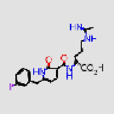 CC(=N)NCCC[C@H](NC(=O)c1ccc(Cc2cccc(I)c2)[nH]c1=O)C(=O)O